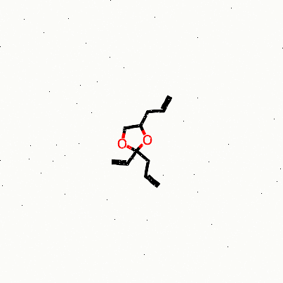 C=CCC1COC(C=C)(CC=C)O1